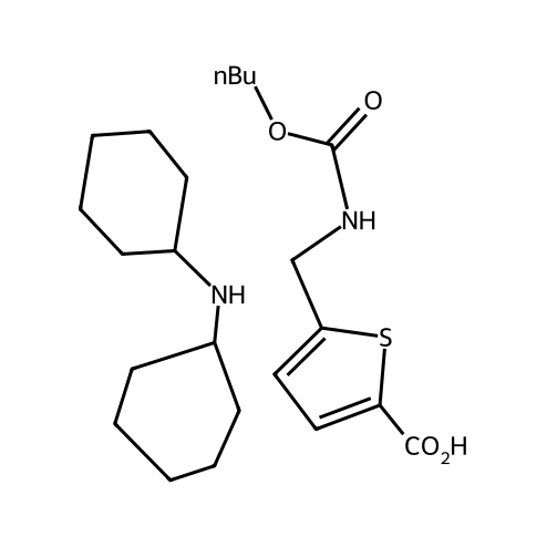 C1CCC(NC2CCCCC2)CC1.CCCCOC(=O)NCc1ccc(C(=O)O)s1